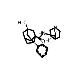 C[C@@]12CC3CC(C(=O)N[C@H]4CN5CCC4CC5)(C1)[C@](c1ccccc1)(C3)C2